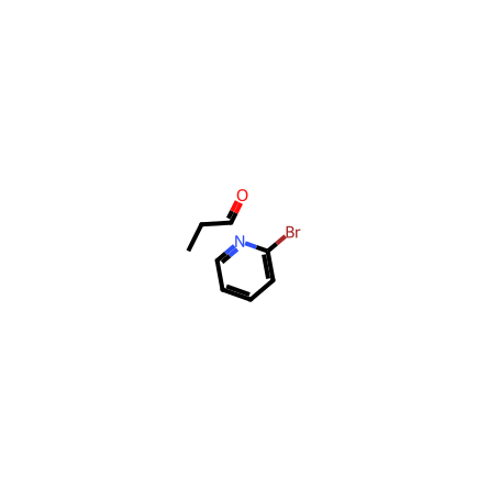 Brc1ccccn1.CCC=O